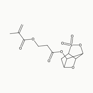 C=C(C)C(=O)OCCC(=O)OC1C2CC3C(O2)C1OS3(=O)=O